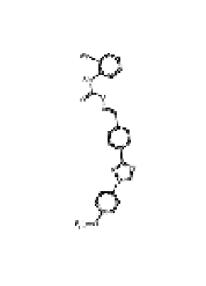 CC(C)c1ccccc1NC(=O)O/N=C/c1ccc(-c2ncn(-c3ccc(OC(F)(F)F)cc3)n2)cc1